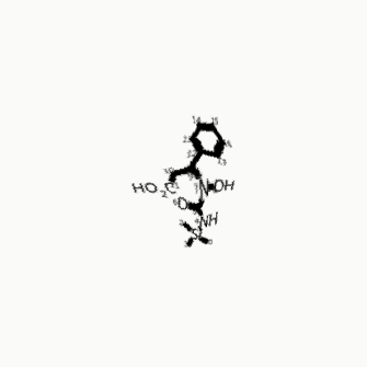 C[Si](C)(C)NC(=O)N(O)C(CC(=O)O)c1ccccc1